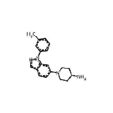 Cc1cccc(-n2ncc3ccc(N4CCC(N)CC4)cc32)c1